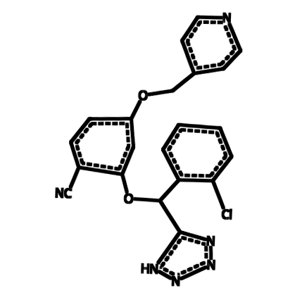 N#Cc1ccc(OCc2ccncc2)cc1OC(c1nnn[nH]1)c1ccccc1Cl